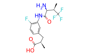 C[C@H](Cc1ccc(F)c(NC(=O)[C@@H](N)[C@@H](C)C(F)(F)F)c1)C(=O)O